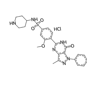 COc1cc(S(=O)(=O)NC2CCNCC2)ccc1-c1nc2c(C)nn(-c3ccccc3)c2c(=O)[nH]1.Cl